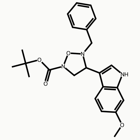 COc1ccc2c(C3CN(C(=O)OC(C)(C)C)ON3Cc3ccccc3)c[nH]c2c1